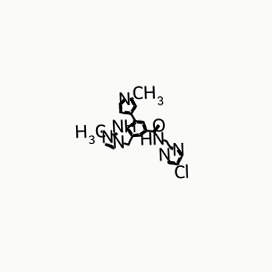 Cc1cc(-c2cc(Cn3ccn(C)c3=N)cc(C(=O)NCc3ncc(Cl)cn3)c2)ccn1